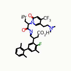 Cc1cc(-c2c(C)cccc2C)cc(C(/C=N/C(=O)C(CC(C)C)n2cc(CCN(C)C)c(C(F)(F)F)cc2=O)CC(=O)O)c1F